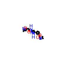 Cc1cc(CC(=O)Nc2cc([C@H]3CC[C@@H](OC(=O)N(C)C(C)C)C3)[nH]n2)on1